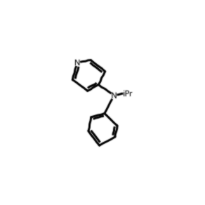 CC(C)N(c1ccccc1)c1ccncc1